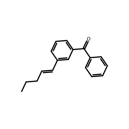 CCCC=Cc1cccc(C(=O)c2ccccc2)c1